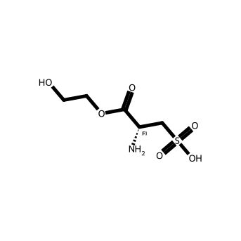 N[C@@H](CS(=O)(=O)O)C(=O)OCCO